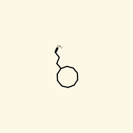 C=CCCC1CCCCCCCCC1